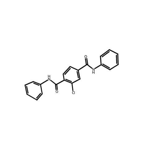 O=C(Nc1ccccc1)c1ccc(C(=O)Nc2ccccc2)c(Cl)c1